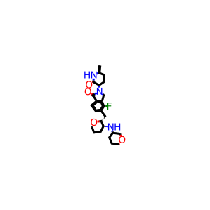 C=C1CCC(N2Cc3c(ccc(C[C@H]4OCCC[C@@H]4NC4CCCOC4)c3F)C2=O)C(=O)N1